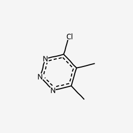 Cc1nnnc(Cl)c1C